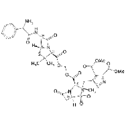 COC(=O)c1nnn(C[C@@]2(C)[C@H](C(=O)OCOC(=O)[C@@H]3N4C(=O)[C@@H](NC(=O)C(N)c5ccccc5)[C@H]4SC3(C)C)N3C(=O)C[C@@H]3S2(=O)=O)c1C(=O)OC